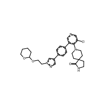 O=C1NCCC12CCN(c1c(Cl)cncc1-c1ccc(-c3cnn(CCOC4CCCCO4)c3)cc1)CC2